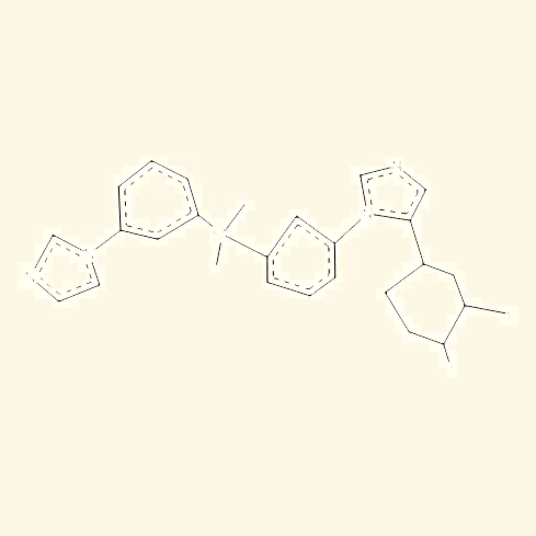 C[Si](C)(c1cccc(-n2ccnc2)c1)c1cccc(-n2cncc2C2CCC(I)C(I)C2)c1